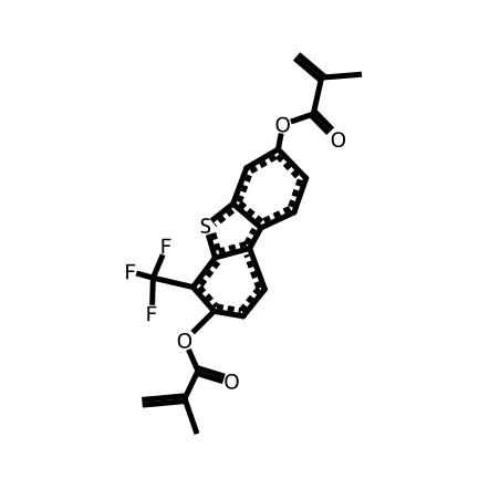 C=C(C)C(=O)Oc1ccc2c(c1)sc1c(C(F)(F)F)c(OC(=O)C(=C)C)ccc12